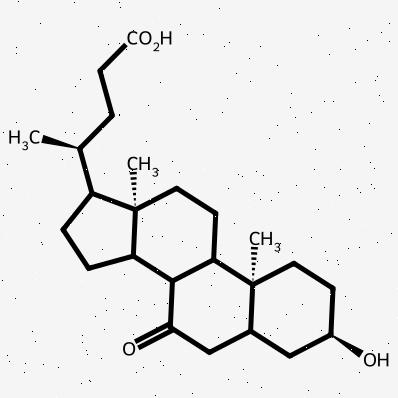 C[C@@H](CCC(=O)O)C1CCC2C3C(=O)CC4C[C@H](O)CC[C@]4(C)C3CC[C@@]21C